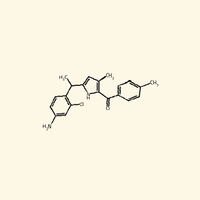 Cc1ccc(C(=O)c2[nH]c(C(C)c3ccc(N)cc3Cl)cc2C)cc1